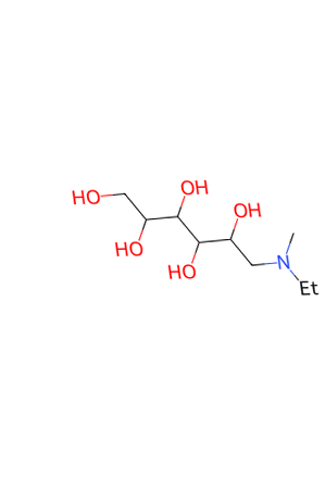 CCN(C)CC(O)C(O)C(O)C(O)CO